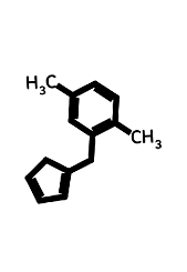 Cc1ccc(C)c(CC2=CC=CC2)c1